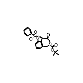 CC(C)(C)OC(=O)N1CC(=O)c2cn(S(=O)(=O)c3ccccc3)c3cccc(c23)C1